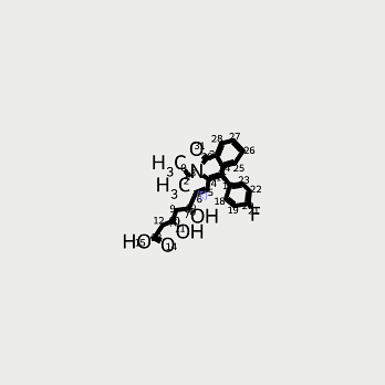 CC(C)n1c(/C=C/[C@@H](O)C[C@@H](O)CC(=O)O)c(-c2ccc(F)cc2)c2ccccc2c1=O